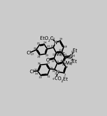 CCOC(=O)N1C=CC(C(OCC)SC)=C(C(=O)C2=C(C(OCC)SC)C=CN(C(=O)OCC)C2c2ccc(Cl)cc2)C1c1ccc(Cl)cc1